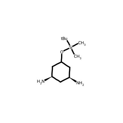 CC(C)(C)[Si](C)(C)OC1C[C@@H](N)C[C@@H](N)C1